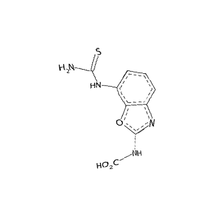 NC(=S)Nc1cccc2nc(NC(=O)O)oc12